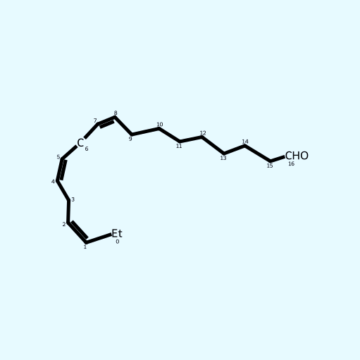 CC/C=C\C/C=C\C/C=C\CCCCCCCC=O